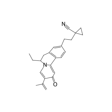 C=C(C)c1cn2c(cc1=O)-c1ccc(CCC3(C#N)CC3)cc1CC2CC